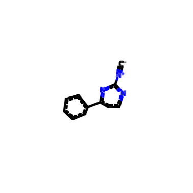 [C-]#[N+]c1nccc(-c2ccccc2)n1